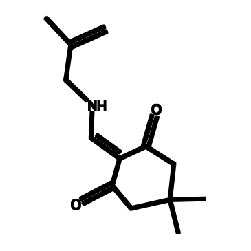 C=C(C)CNC=C1C(=O)CC(C)(C)CC1=O